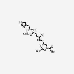 CCCCC(=O)OCC(CNC(=O)CCC(=O)NC(Cc1c[nH]cn1)OC=O)OC(=O)CCC